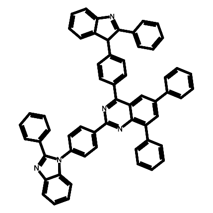 c1ccc(C2=Nc3ccccc3C2c2ccc(-c3nc(-c4ccc(-n5c(-c6ccccc6)nc6ccccc65)cc4)nc4c(-c5ccccc5)cc(-c5ccccc5)cc34)cc2)cc1